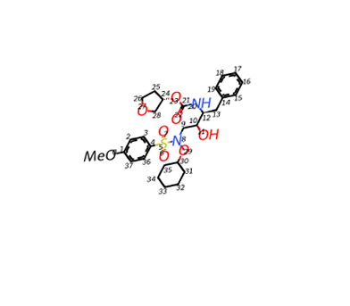 COc1ccc(S(=O)(=O)N(C[C@H](O)[C@H](Cc2ccccc2)NC(=O)O[C@H]2CCOC2)OC2CCCCC2)cc1